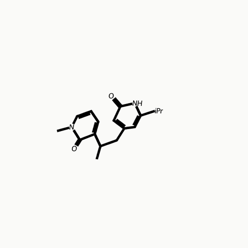 CC(C)c1cc(CC(C)c2cccn(C)c2=O)cc(=O)[nH]1